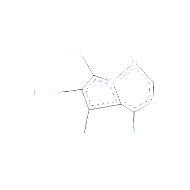 CCOC(=O)c1c(C)c2c(Cl)ncnn2c1C=O